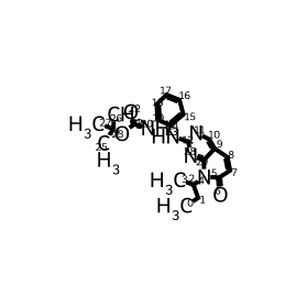 CCC(C)n1c(=O)ccc2cnc(Nc3ccccc3NC(=O)OC(C)(C)C)nc21